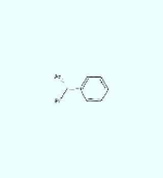 CC(=O)[C@H](c1ccccc1)C(C)C